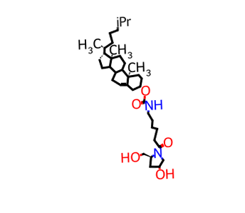 CC(C)CCC[C@@H](C)[C@H]1CCC2C3CC=C4C[C@@H](OC(=O)NCCCCCC(=O)N5CC(O)C[C@H]5CO)CC[C@]4(C)C3CC[C@@]21C